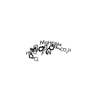 COc1cc2c(Oc3ccc(NC(=O)C4(C(=O)Nc5cccc(Cl)c5)CC4)cc3F)ccnc2cc1OCCCC(=O)O.[MgH2]